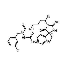 CCC(CCCNC(=O)[C@H](Cc1cccc(Cl)c1)NC(=O)OC)N1C(=N)N[C@](CC(C)C)(c2ccccc2)C1=O